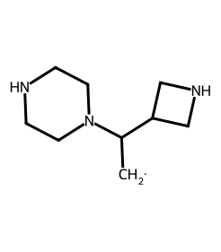 [CH2]C(C1CNC1)N1CCNCC1